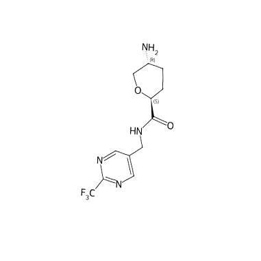 N[C@@H]1CC[C@@H](C(=O)NCc2cnc(C(F)(F)F)nc2)OC1